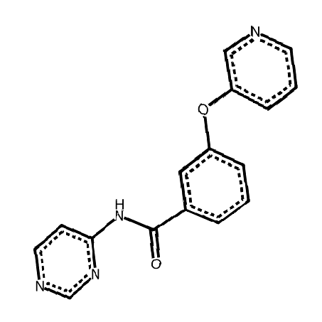 O=C(Nc1ccncn1)c1cccc(Oc2cccnc2)c1